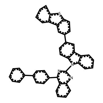 c1ccc(-c2ccc(-c3nc(-n4c5ccccc5c5cc(-c6ccc7sc8ccccc8c7c6)ccc54)nc4ccccc34)cc2)cc1